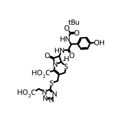 CC(C)(C)OC(=O)NC(C(=O)NC1C(=O)N2C(C(=O)O)=C(CSc3nnnn3CC(=O)O)CS[C@H]12)c1ccc(O)cc1